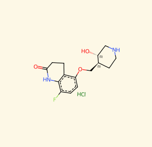 Cl.O=C1CCc2c(OC[C@@H]3CCNC[C@H]3O)ccc(F)c2N1